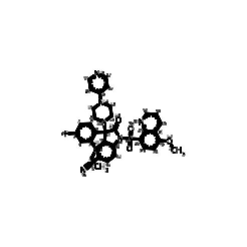 CCOc1cc(F)ccc1C1(N2CCN(c3ccncc3)CC2)C(=O)N(S(=O)(=O)c2ccc(OC)c3cccnc23)c2ccc(C#N)cc21